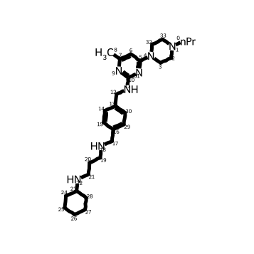 CCCN1CCN(c2cc(C)nc(NCc3ccc(CNCCCNC4CCCCC4)cc3)n2)CC1